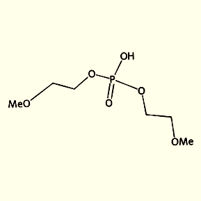 COCCOP(=O)(O)OCCOC